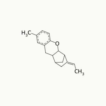 CC=C1CC2CC1C1Oc3ccc(C)cc3CC21